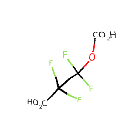 O=C(O)OC(F)(F)C(F)(F)C(=O)O